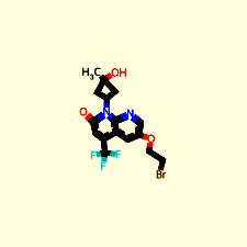 CC1(O)CC(n2c(=O)cc(C(F)(F)F)c3cc(OCCBr)cnc32)C1